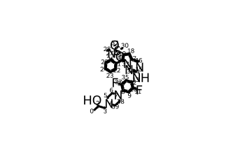 CC(O)CN1CCN(c2cc(F)c(Nc3ncc4ccc(-c5ccccc5N(C)S(C)(=O)=O)n4n3)cc2F)CC1